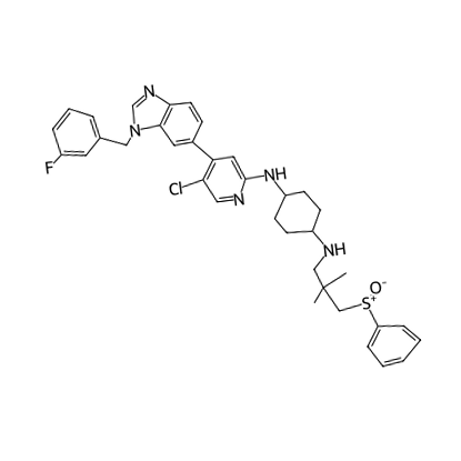 CC(C)(CNC1CCC(Nc2cc(-c3ccc4ncn(Cc5cccc(F)c5)c4c3)c(Cl)cn2)CC1)C[S+]([O-])c1ccccc1